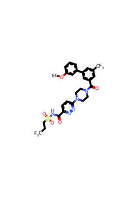 CCOc1cccc(-c2cc(C(=O)N3CCN(c4ccc(C(=O)NS(=O)(=O)CCC(F)(F)F)nn4)CC3)cc(C(F)(F)F)c2)c1